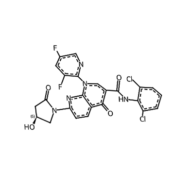 O=C(Nc1c(Cl)cccc1Cl)c1cn(-c2ncc(F)cc2F)c2nc(N3C[C@@H](O)CC3=O)ccc2c1=O